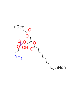 CCCCCCCCC/C=C\CCCCCCCC(=O)O[C@H](COC(=O)CCCCCCCCCCC)COP(=O)(O)OCCN